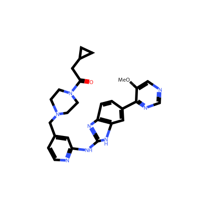 COc1cncnc1-c1ccc2nc(Nc3cc(CN4CCN(C(=O)CC5CC5)CC4)ccn3)[nH]c2c1